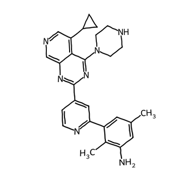 Cc1cc(N)c(C)c(-c2cc(-c3nc(N4CCNCC4)c4c(C5CC5)cncc4n3)ccn2)c1